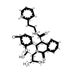 C[C@H](O)[C@H](CO)N1C(=O)c2ccccc2[C@H](C(=O)NCCc2ccccn2)[C@H]1c1ccc(Cl)cc1Cl